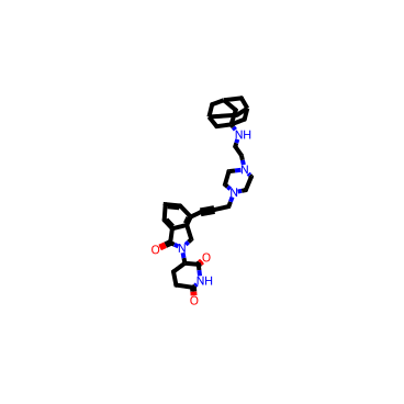 O=C1CCC(N2Cc3c(C#CCN4CCN(CCNC56CC7CC(CC(C7)C5)C6)CC4)cccc3C2=O)C(=O)N1